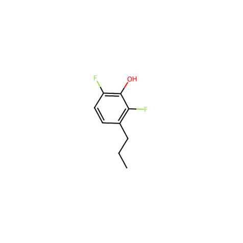 CCCc1ccc(F)c(O)c1F